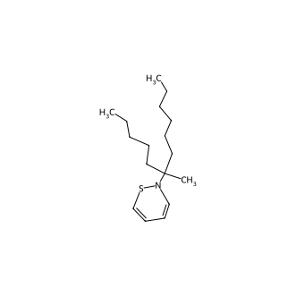 CCCCCCC(C)(CCCCC)N1C=CC=CS1